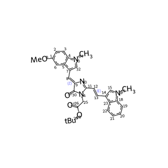 COc1ccc2c(c1)c(/C=C1N=C(/C=C/c3cn(C)c4ccccc34)N(CC(=O)OC(C)(C)C)C\1=O)cn2C